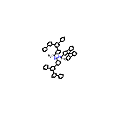 C=C(/N=C(\N=C(/C)c1ccc2c(c1)C1(c3ccccc3-c3ccccc31)c1ccccc1-2)c1cccc(-c2cc(-c3ccccc3)cc(-c3cccc(-c4ccccc4)c3)c2)c1)c1cccc(-c2cc(-c3ccccc3)cc(-c3cccc(-c4ccccc4)c3)c2)c1